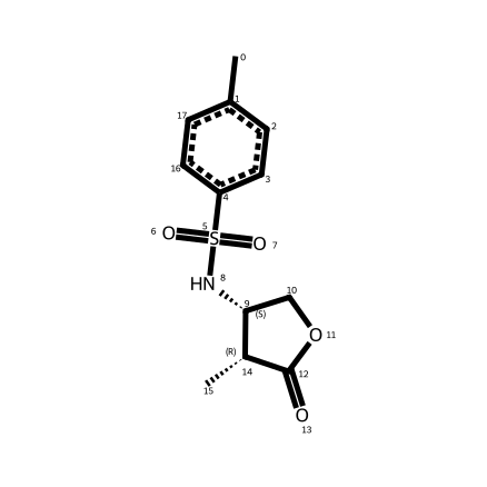 Cc1ccc(S(=O)(=O)N[C@@H]2COC(=O)[C@@H]2C)cc1